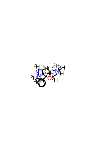 [2H]c1nn(C([2H])([2H])[2H])c(C([2H])(OC([2H])([2H])CN(C)C([2H])([2H])[2H])c2ccccc2)c1[2H]